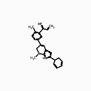 C=CC(=P)c1cc(C2=Cc3cc(C4C=CC=CC4)[nH]c3N(C)C2)ccc1C